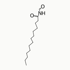 CCCCCCCCCCCCCC(=O)NC=O